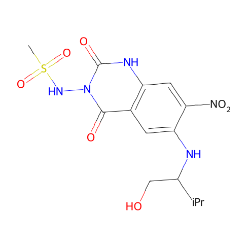 CC(C)C(CO)Nc1cc2c(=O)n(NS(C)(=O)=O)c(=O)[nH]c2cc1[N+](=O)[O-]